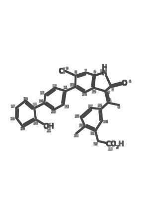 CC(=C1C(=O)Nc2cc(Cl)c(-c3ccc(-c4ccccc4O)cc3)cc21)c1ccc(C)c(CC(=O)O)c1